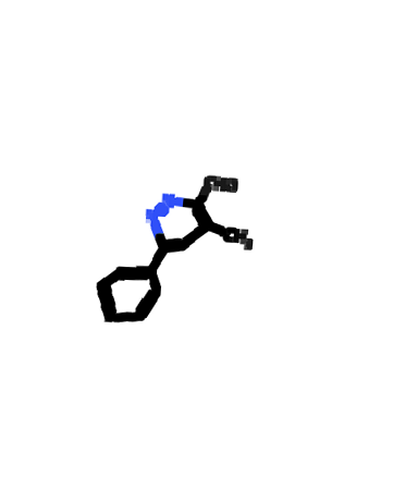 Cc1cc(-c2ccccc2)nnc1C=O